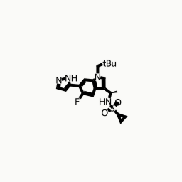 C[C@@H](NS(=O)(=O)C1CC1)c1cn(CC(C)(C)C)c2cc(-c3ccn[nH]3)c(F)cc12